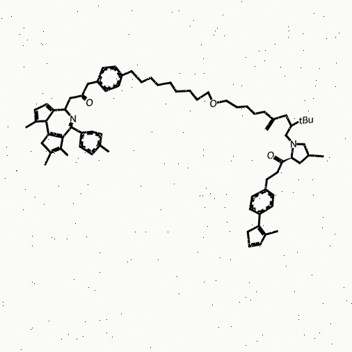 C=C(CCCCCOCCCCCCCCCc1ccc(CC(=O)CC2N=C(c3ccc(C)cc3)C3=C(CC(C)=C3C)C3C(C)=CC=C23)cc1)CC(CN1CC(C)C[C@H]1C(=O)CCc1ccc(C2=C(C)C=CC2)cc1)C(C)(C)C